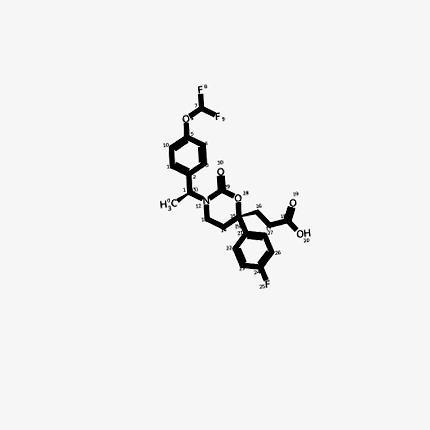 C[C@@H](c1ccc(OC(F)F)cc1)N1CC[C@@](CCC(=O)O)(c2ccc(F)cc2)OC1=O